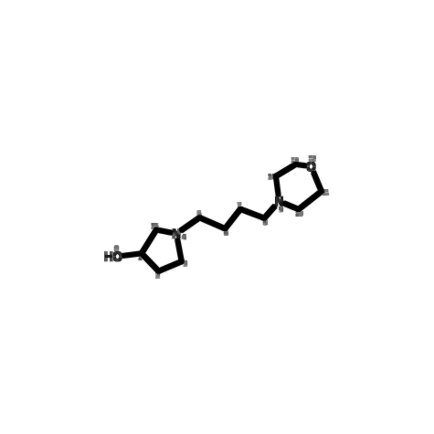 OC1CCN(CC[CH]CN2CCOCC2)C1